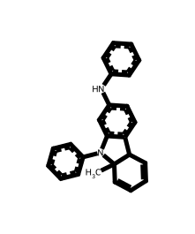 CC12C=CC=CC1c1ccc(Nc3ccccc3)cc1N2c1ccccc1